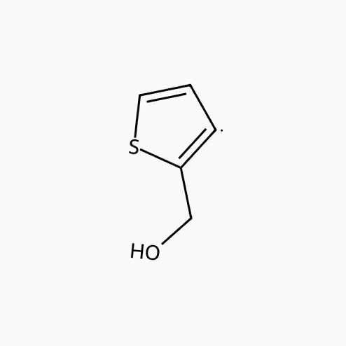 OCc1[c]ccs1